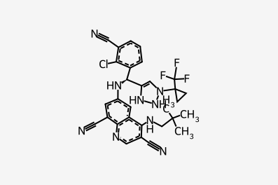 CC(C)(C)CNc1c(C#N)cnc2c(C#N)cc(N[C@H](C3=CN(C4(C(F)(F)F)CC4)NN3)c3cccc(C#N)c3Cl)cc12